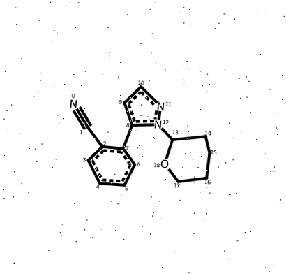 N#Cc1ccccc1-c1ccnn1C1CCCCO1